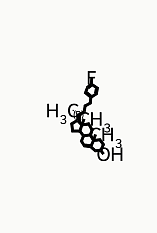 C[C@H](CCCc1ccc(F)cc1)C1CCC2C3CC=C4CC(O)CCC4(C)C3CCC21C